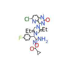 CC[C@H]1CN(C(/C(N)=N/OC(=O)C2CC2)c2ccc(F)cc2)[C@H](CC)CN1c1nc(=O)n(C)c2ccc(Cl)nc12